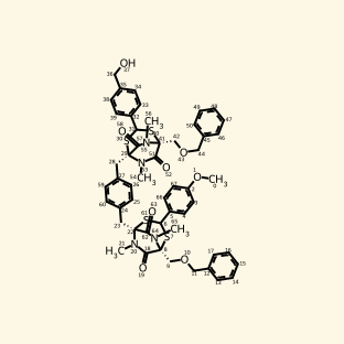 COc1ccc(C2S[C@@]3(COCc4ccccc4)C(=O)N(C)[C@@](Cc4ccc(C[C@@]56SC(c7ccc(CO)cc7)S[C@@](COCc7ccccc7)(C(=O)N5C)N(C)C6=O)cc4)(S2)C(=O)N3C)cc1